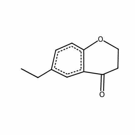 CCc1ccc2c(c1)C(=O)CCO2